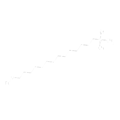 CCOCCCCCCCCCCCCCC[Si](C)(C)CC